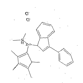 CC1=C(C)C(C)[C]([Zr+2]([CH]2C=C(c3ccccc3)c3ccccc32)[SiH](C)C)=C1C.[Cl-].[Cl-]